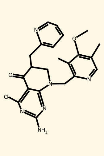 COc1c(C)cnc(CN2CC(Cc3ccccn3)C(=O)c3c(Cl)nc(N)nc32)c1C